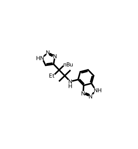 CCCCC(CC)(c1c[nH]nn1)C(C)(C)Nc1cccc2[nH]nnc12